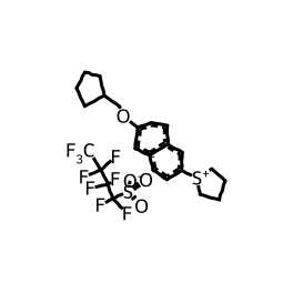 O=S(=O)([O-])C(F)(F)C(F)(F)C(F)(F)C(F)(F)F.c1cc2cc([S+]3CCCC3)ccc2cc1OCC1CCCC1